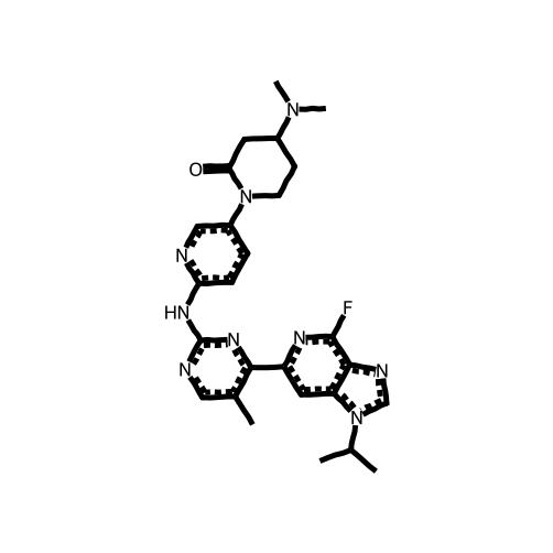 Cc1cnc(Nc2ccc(N3CCC(N(C)C)CC3=O)cn2)nc1-c1cc2c(ncn2C(C)C)c(F)n1